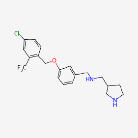 FC(F)(F)c1cc(Cl)ccc1COc1cccc(CNCC2CCNC2)c1